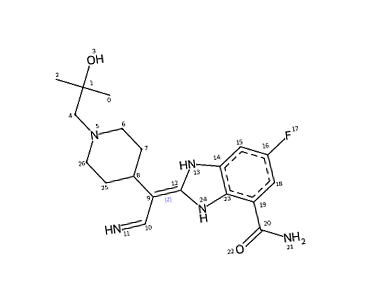 CC(C)(O)CN1CCC(/C(C=N)=C2\Nc3cc(F)cc(C(N)=O)c3N2)CC1